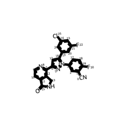 N#Cc1cc(-n2nc(-c3nccc4c3CNC4=O)cc2-c2cc(F)cc(Cl)c2)ccc1F